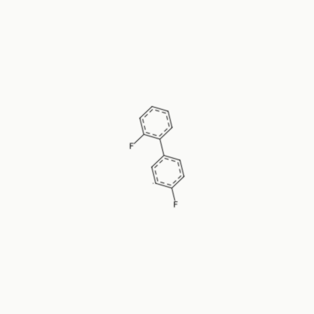 Fc1[c]cc(-c2ccccc2F)cc1